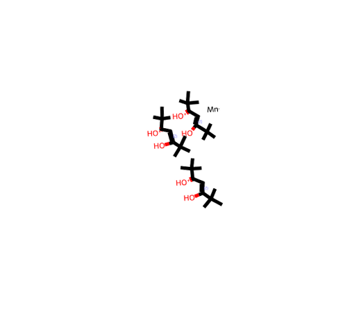 CC(C)(C)C(=[OH+])/C=C(\O)C(C)(C)C.CC(C)(C)C(=[OH+])/C=C(\O)C(C)(C)C.CC(C)(C)C(=[OH+])/C=C(\O)C(C)(C)C.[Mn]